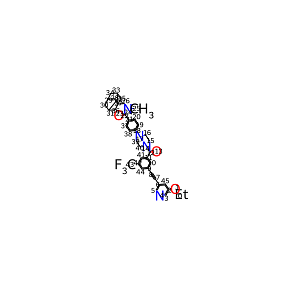 CCOc1cncc(C#Cc2cc(C(=O)N3CCN(c4ccc(C(=O)N(C)CC56CC7CC(CC(C7)C5)C6)cc4)CC3)cc(C(F)(F)F)c2)c1